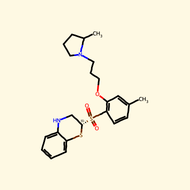 Cc1ccc(S(=O)(=O)[C@H]2CNc3ccccc3S2)c(OCCCN2CCCC2C)c1